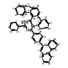 c1ccc(C2=NC(c3ccc(-c4cc5ccccc5c5ccccc45)cc3)NC(c3c(-c4ccccc4)ccc4oc5ccccc5c34)N2)cc1